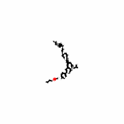 CCCCOCCOc1ccc(-c2ccc3c(c2)C=C(C(=O)Nc2ccc(SCc4cn(CCC)nn4)cc2)CCN3CC(C)C)cc1